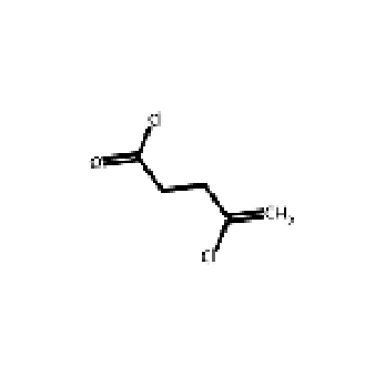 C=C(Cl)CCC(=O)Cl